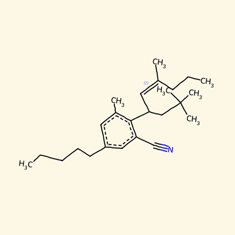 CCCCCc1cc(C)c(C(/C=C(/C)CCC)CC(C)(C)C)c(C#N)c1